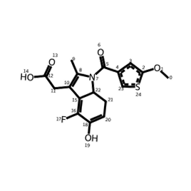 COc1cc(C(=O)N2C(C)=C(CC(=O)O)C3=C(F)C(O)=CCC32)cs1